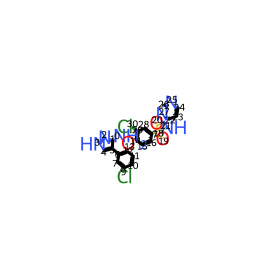 Nc1n[nH]cc1-c1cc(Cl)ccc1Oc1ccc(S(=O)(=O)Nc2ccncn2)cc1Cl